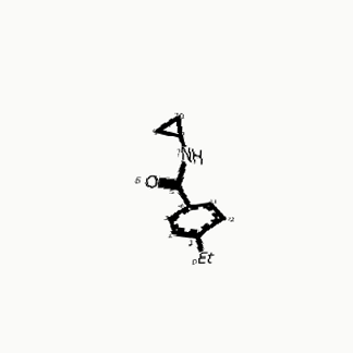 [CH2]Cc1ccc(C(=O)NC2CC2)cc1